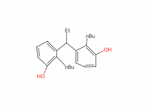 CCCCc1c(O)cccc1C(CC)c1cccc(O)c1CCCC